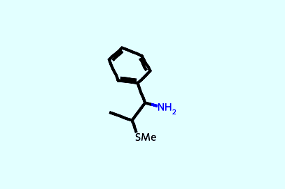 CSC(C)C(N)c1ccccc1